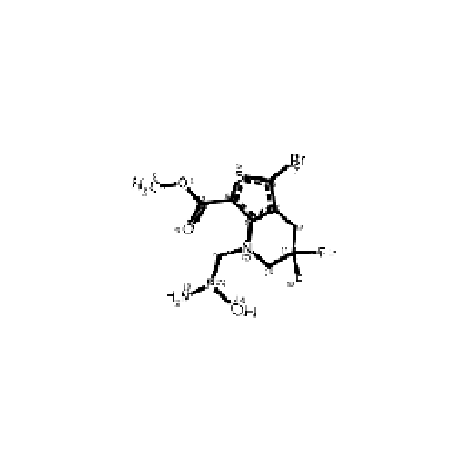 COC(=O)c1sc(Br)c2c1N(CP(N)O)CC(F)(F)C2